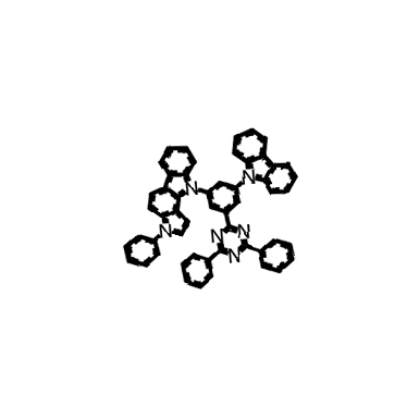 c1ccc(-c2nc(-c3ccccc3)nc(-c3cc(-n4c5ccccc5c5ccccc54)cc(-n4c5ccccc5c5ccc6c(ccn6-c6ccccc6)c54)c3)n2)cc1